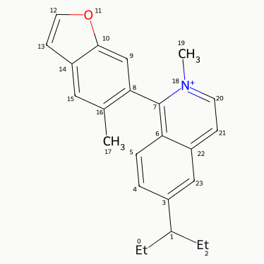 CCC(CC)c1ccc2c(-c3cc4occc4cc3C)[n+](C)ccc2c1